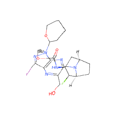 CC(C)(C)OC(=O)N[C@H]1C[C@H]2CC[C@@H]([C@H]1F)N2c1nc2c(nc1CO)c(I)nn2C1CCCCO1